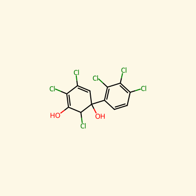 OC1=C(Cl)C(Cl)=CC(O)(c2ccc(Cl)c(Cl)c2Cl)C1Cl